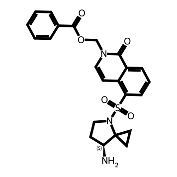 N[C@H]1CCN(S(=O)(=O)c2cccc3c(=O)n(COC(=O)c4ccccc4)ccc23)C12CC2